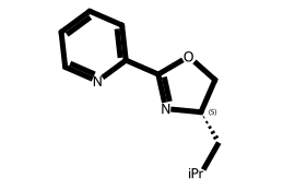 CC(C)C[C@H]1COC(c2ccccn2)=N1